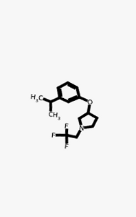 CC(C)c1cccc(OC2CCN(CC(F)(F)F)C2)c1